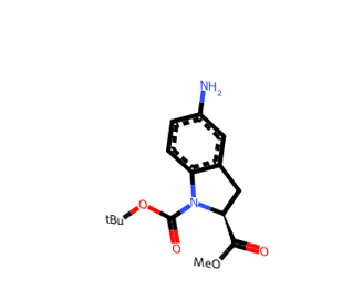 COC(=O)[C@@H]1Cc2cc(N)ccc2N1C(=O)OC(C)(C)C